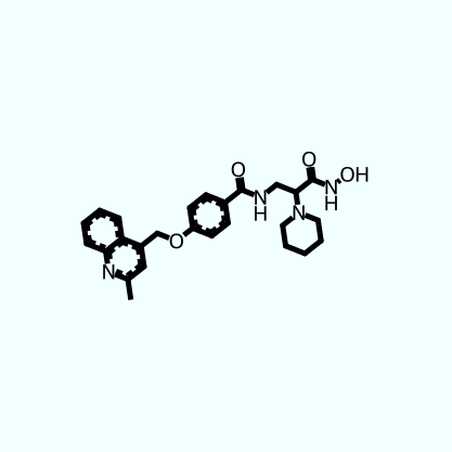 Cc1cc(COc2ccc(C(=O)NCC(C(=O)NO)N3CCCCC3)cc2)c2ccccc2n1